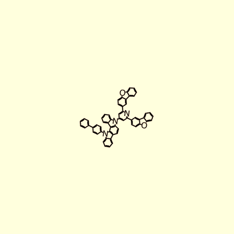 c1ccc(-c2ccc(-n3c4ccccc4c4ccc5c(c6ccccc6n5-c5cc(-c6ccc7oc8ccccc8c7c6)nc(-c6ccc7oc8ccccc8c7c6)c5)c43)cc2)cc1